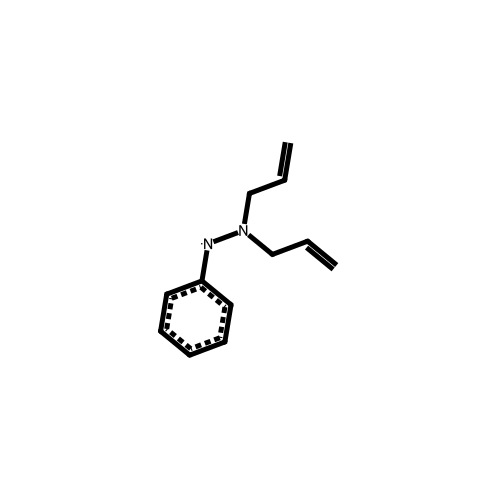 C=CCN(CC=C)[N]c1ccccc1